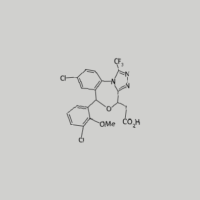 COc1c(Cl)cccc1C1OC(CC(=O)O)c2nnc(C(F)(F)F)n2-c2ccc(Cl)cc21